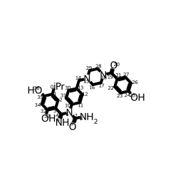 CC(C)c1cc(C(=N)N(C(N)=O)c2ccc(CN3CCN(C(=O)c4ccc(O)cc4)CC3)cc2)c(O)cc1O